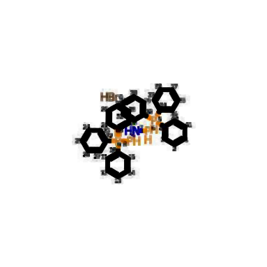 Br.c1ccc([PH](PNP[PH](c2ccccc2)(c2ccccc2)c2ccccc2)(c2ccccc2)c2ccccc2)cc1